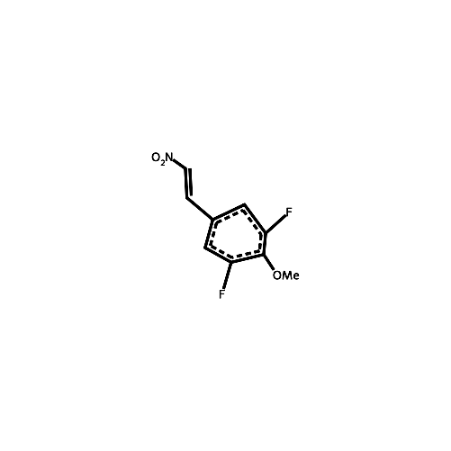 COc1c(F)cc(/C=C/[N+](=O)[O-])cc1F